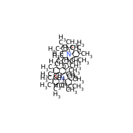 Cc1c(C)c(C)c(N(c2c(C)c(C)c(C)c(C)c2C)c2c(C)c(C)c3c(c2C)C(C)(C)c2c(C)c(N(c4c(C)c(C)c(C)c(C)c4C)c4c(C)c(C)c(C)c(C)c4C)c4c(C)c(C)c(C)c(C)c4c2-3)c(C)c1C